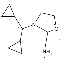 NC1OCCN1C(C1CC1)C1CC1